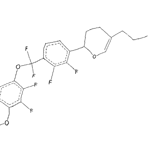 CCCC1=COC(c2ccc(C(F)(F)Oc3ccc(OCC)c(F)c3F)c(F)c2F)CC1